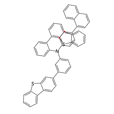 c1cc(-c2ccc3c(c2)sc2ccccc23)cc(N(c2ccc(-c3cccc4ccccc34)cc2)c2ccccc2-c2cccc3c2sc2ccccc23)c1